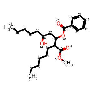 CCCCCCC(C(=O)OC)C(CC(O)CCCCC)OC(=O)c1ccccc1